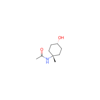 CC(=O)N[C@]1(C)CC[C@H](O)CC1